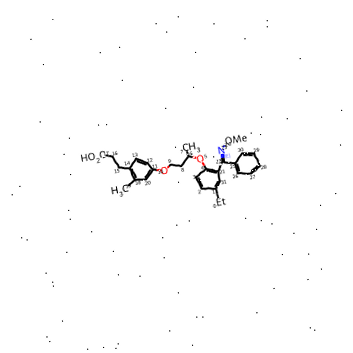 CCc1ccc(OC(C)CCOc2ccc(CCC(=O)O)c(C)c2)c(/C(=N/OC)c2ccccc2)c1